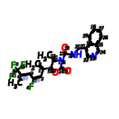 C=C(/C=C(F)\C=C(/C)C(F)(F)F)[C@H]1OC(=O)N(C(=O)NCc2cncc3ccccc23)[C@H]1C